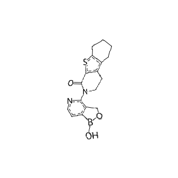 O=C1c2sc3c(c2CCN1c1nccc2c1COB2O)CCCC3